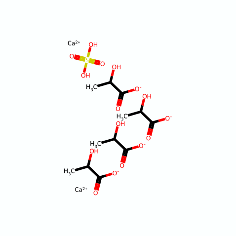 CC(O)C(=O)[O-].CC(O)C(=O)[O-].CC(O)C(=O)[O-].CC(O)C(=O)[O-].O=S(=O)(O)O.[Ca+2].[Ca+2]